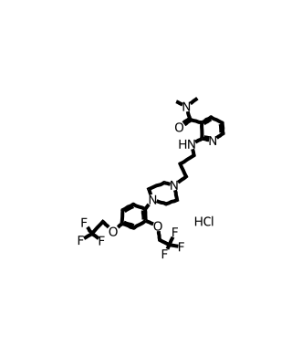 CN(C)C(=O)c1cccnc1NCCCN1CCN(c2ccc(OCC(F)(F)F)cc2OCC(F)(F)F)CC1.Cl